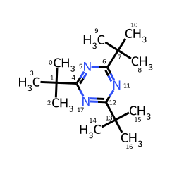 CC(C)(C)c1nc(C(C)(C)C)nc(C(C)(C)C)n1